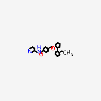 CCc1ccccc1-c1ccccc1OCc1ccc(C(=O)NCc2cccnc2)cc1